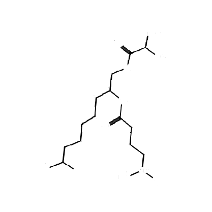 CCCCCCCCC(CCCCCC)C(=O)OCC(CCCCCC(CC)CC)OC(=O)CCCN(C)C